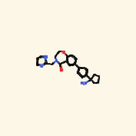 NC1(c2ccc(-c3ccc4c(c3)C(=O)N(Cc3ncccn3)CCO4)cc2)CCCC1